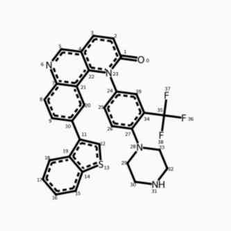 O=c1ccc2cnc3ccc(-c4csc5ccccc45)cc3c2n1-c1ccc(N2CCNCC2)c(C(F)(F)F)c1